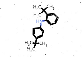 CC(C)(C)c1ccc(Nc2ccccc2C(C)(C)C)cc1